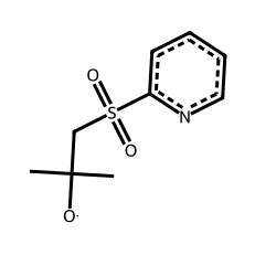 CC(C)([O])CS(=O)(=O)c1ccccn1